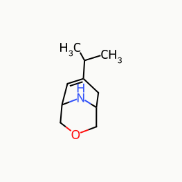 CC(C)C1=CC2COCC(C1)N2